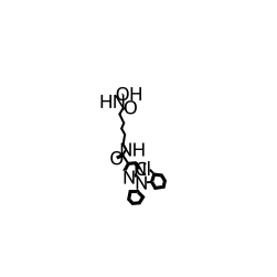 O=C(CCCCCNC(=O)c1cnc(N(c2ccccc2)c2ccccc2Cl)nc1)NO